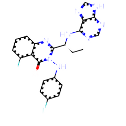 CC[C@H](Nc1ncnc2[nH]cnc12)c1nc2cccc(F)c2c(=O)n1Nc1ccc(F)cc1